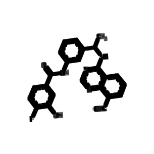 CC(Nc1ncnc2c([C]=O)cccc12)c1cccc(NC(=O)c2ccc(F)c(O)c2)c1